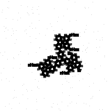 CCCCCCc1ccc(C2(c3ccc(N(c4ccc(-c5ccc6c(c5)C(c5ccc(CCCCCC)cc5)(c5ccc(CCCCCC)cc5)c5ccccc5-6)cc4)c4ccc(-c5ccc6c(c5)C(c5ccc(CCCCCC)cc5)(c5ccc(CCCCCC)cc5)c5ccccc5-6)cc4)cc3)c3cc(Br)ccc3-c3ccc(Br)cc32)cc1